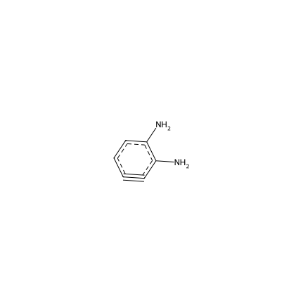 Nc1c#cccc1N